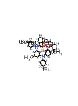 Cc1cc2c3c(c1)N(c1ccc(C(C)(C)C)cc1)c1ccc4c(c1B3C1=C(N2c2ccc(C(C)(C)C)cc2)C2(C)CCCC2(C)O1)OC1(C)CCCC41C